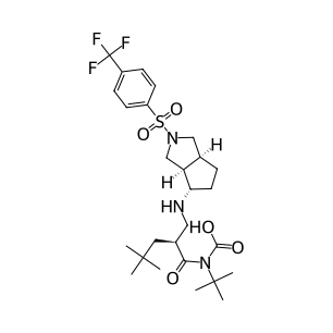 CC(C)(C)C[C@@H](CN[C@H]1CC[C@@H]2CN(S(=O)(=O)c3ccc(C(F)(F)F)cc3)C[C@@H]21)C(=O)N(C(=O)O)C(C)(C)C